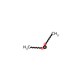 CCCCCCCCCCCOc1c[c]cc(OCCCCCCCCCCC)c1